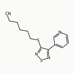 N#CCCCCCSc1nsnc1-c1cccnc1